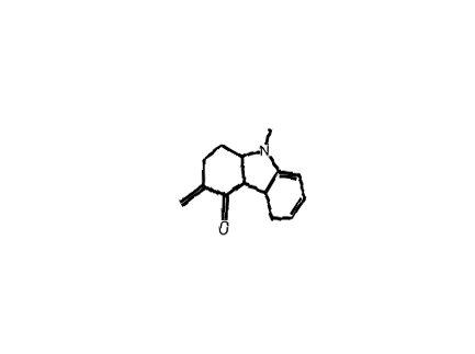 C=C1CCC2C(C1=O)C1CC=CC=C1N2C